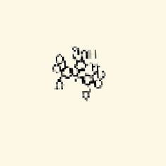 COCc1cc(C(C)(c2cc(COC)c(OC)c(COC)c2)c2cc(COC)c(OC)c(COC)c2)cc(COC)c1O